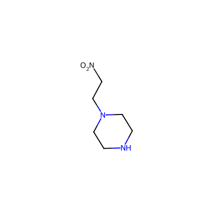 O=[N+]([O-])CCN1CCNCC1